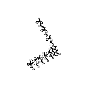 CCCCCC.CCCCCC.CCOC(C)=O.CCOC(C)=O.CCOC(C)=O.CCOC(C)=O.CCOC(C)=O.CCOC(C)=O.CCOC(C)=O.CCOC(C)=O